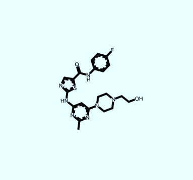 Cc1nc(Nc2ncc(C(=O)Nc3ccc(F)cc3)s2)cc(N2CCN(CCO)CC2)n1